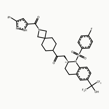 CC(C)c1cc(C(=O)N2CC3(CCC(C(=O)C[C@@H]4CCc5cc(C(O)(C(F)(F)F)C(F)(F)F)ccc5N4S(=O)(=O)c4ccc(F)cc4)CC3)C2)[nH]n1